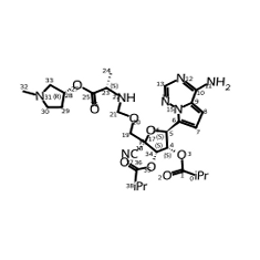 CC(C)C(=O)O[C@H]1[C@H](c2ccc3c(N)ncnn23)O[C@](C#N)(COCN[C@@H](C)C(=O)O[C@@H]2CCN(C)C2)[C@H]1OC(=O)C(C)C